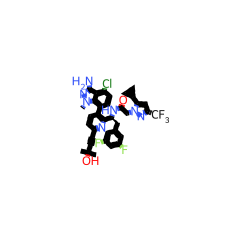 Cn1nc(N)c2c(Cl)ccc(-c3ccc(C#CC(C)(C)O)nc3[C@H](Cc3cc(F)cc(F)c3)NC(=O)Cn3nc(C(F)(F)F)cc3C3CC3)c21